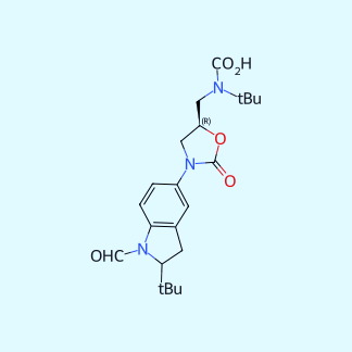 CC(C)(C)C1Cc2cc(N3C[C@@H](CN(C(=O)O)C(C)(C)C)OC3=O)ccc2N1C=O